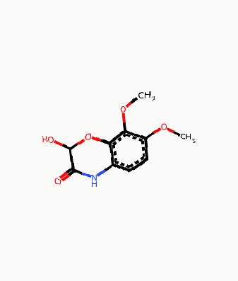 COc1ccc2c(c1OC)OC(O)C(=O)N2